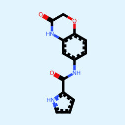 O=C1COc2ccc(NC(=O)c3ccc[nH]3)cc2N1